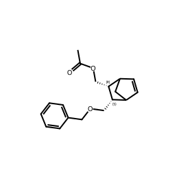 CC(=O)OC[C@@H]1C2C=CC(C2)[C@@H]1COCc1ccccc1